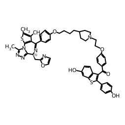 Cc1sc2c(c1C)C(c1ccc(OCCCCC3CCN(CCOc4ccc(C(=O)c5c(-c6ccc(O)cc6)sc6cc(O)ccc56)cc4)CC3)cc1)=N[C@@H](Cc1ncco1)c1nnc(C)n1-2